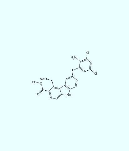 COCc1c(C(=O)OC(C)C)ncc2[nH]c3ccc(Oc4cc(Cl)cc(Cl)c4N)cc3c12